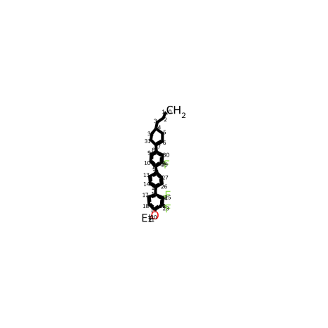 C=CCCC1CC=C(c2ccc(-c3ccc(-c4ccc(OCC)c(F)c4F)cc3)c(F)c2)CC1